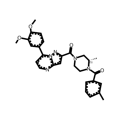 COc1ccc(-c2ccnc3cc(C(=O)N4CCN(C(=O)c5cccc(C)c5)[C@@H](C)C4)nn23)cc1OC